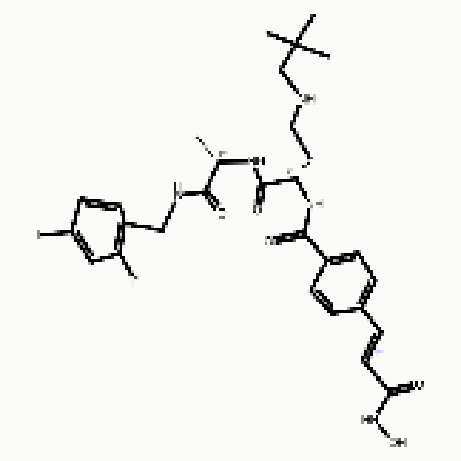 C[C@H](NC(=O)[C@H](CCNCC(C)(C)C)NC(=O)c1ccc(/C=C/C(=O)NO)cc1)C(=O)NCc1ccc(I)cc1F